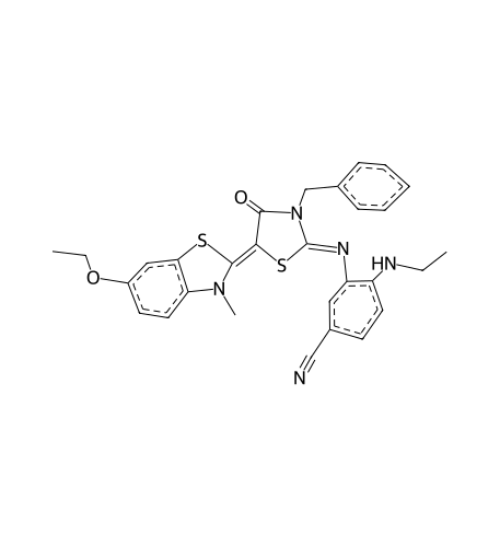 CCNc1ccc(C#N)cc1N=C1SC(=C2Sc3cc(OCC)ccc3N2C)C(=O)N1Cc1ccccc1